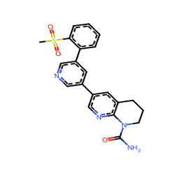 CS(=O)(=O)c1ccccc1-c1cncc(-c2cnc3c(c2)CCCN3C(N)=O)c1